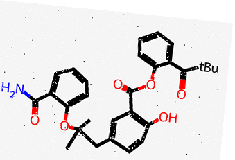 CC(C)(Cc1ccc(O)c(C(=O)Oc2ccccc2C(=O)C(C)(C)C)c1)Oc1ccccc1C(N)=O